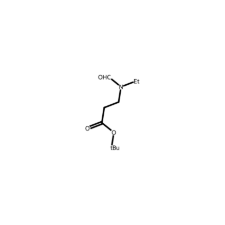 CCN(C=O)CCC(=O)OC(C)(C)C